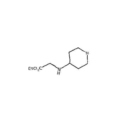 CCOC(=O)CNC1CC[N]CC1